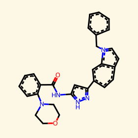 O=C(Nc1cc(-c2ccc3ccn(Cc4ccccc4)c3c2)n[nH]1)c1ccccc1N1CCOCC1